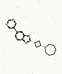 c1ncc(-c2ccc3nc([C@H]4C[C@@H](N5CCCCCC5)C4)sc3c2)cn1